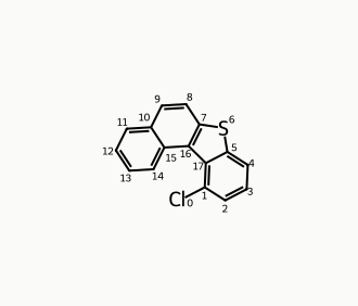 Clc1cccc2sc3ccc4ccccc4c3c12